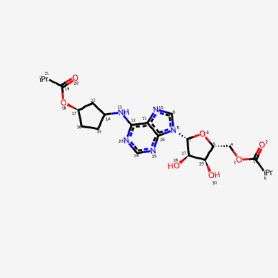 CC(C)C(=O)OC[C@H]1O[C@@H](n2cnc3c(NC4CC[C@@H](OC(=O)C(C)C)C4)ncnc32)[C@H](O)[C@@H]1O